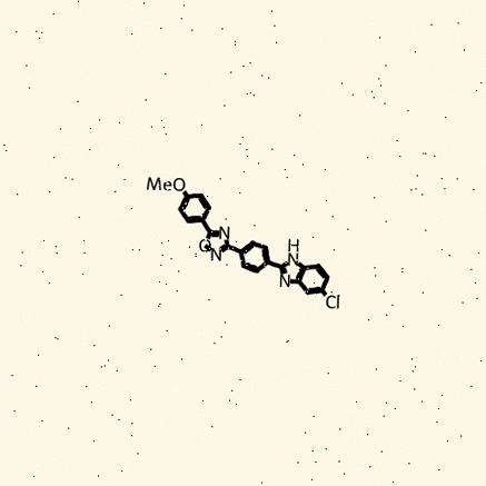 COc1ccc(-c2nc(-c3ccc(-c4nc5cc(Cl)ccc5[nH]4)cc3)no2)cc1